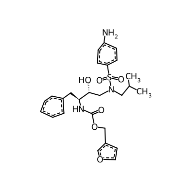 CC(C)CN(C[C@@H](O)[C@H](Cc1ccccc1)NC(=O)OCc1ccoc1)S(=O)(=O)c1ccc(N)cc1